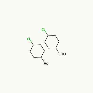 CC(=O)C1CCC(Cl)CC1.O=CC1CCC(Cl)CC1